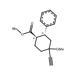 C#CC1(OC)CC[C@@H](C(=O)OC(C)(C)C)[C@H](c2ccccc2)C1